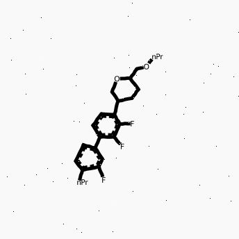 CCCOCC1CCC(c2ccc(-c3ccc(CCC)c(F)c3)c(F)c2F)CO1